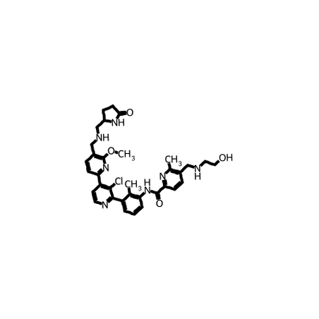 COc1nc(-c2ccnc(-c3cccc(NC(=O)c4ccc(CNCCO)c(C)n4)c3C)c2Cl)ccc1CNCC1CCC(=O)N1